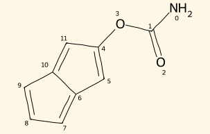 NC(=O)OC1=CC2=CC=CC2=C1